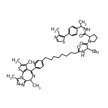 Cc1ncsc1-c1ccc(C(C)NC(=O)C2CCCN2C(=O)C(NC(=O)CCCCCCCCc2ccc(C3=NC(C)c4nnc(C)n4-c4sc(C)c(C)c43)cc2)C(C)(C)C)cc1